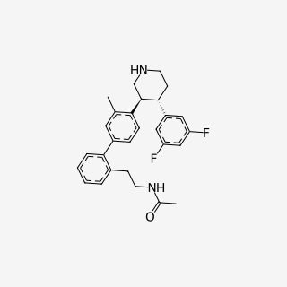 CC(=O)NCCc1ccccc1-c1ccc([C@H]2CNCC[C@@H]2c2cc(F)cc(F)c2)c(C)c1